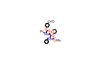 CC(C)C[C@H](NC(=O)[C@@H](OC1CCCCO1)[C@@H](Cc1ccccc1)NC(=O)OC(C)(C)C)C(=O)Oc1ccc(C=O)cc1